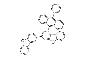 c1ccc(-c2c3ccccc3c(-c3cc(-c4ccc5oc6ccccc6c5c4)cc4oc5ccccc5c34)c3ccccc23)cc1